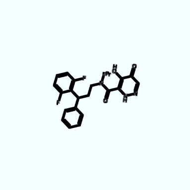 CCCN(CCC(c1ccccc1)c1c(F)cccc1F)C(=O)c1[nH]ncc(=O)c1O